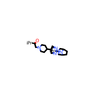 CC(C)C(=O)CN1CCC(c2cnc(N3C4CCC3CN(C(C)C)C4)nc2)CC1